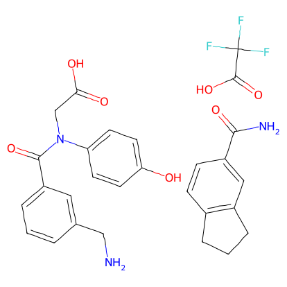 NC(=O)c1ccc2c(c1)CCC2.NCc1cccc(C(=O)N(CC(=O)O)c2ccc(O)cc2)c1.O=C(O)C(F)(F)F